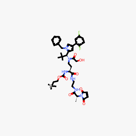 C[C@H](C(=O)NCCNC(=O)[C@H](CCN(C(=O)CO)[C@@H](c1cc(-c2cc(F)ccc2F)cn1Cc1ccccc1)C(C)(C)C)NC(=O)OCC[Si](C)(C)C)N1C(=O)C=CC1=O